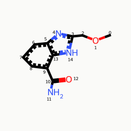 COCc1nc2cccc(C(N)=O)c2[nH]1